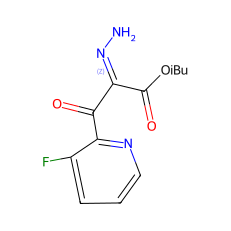 CC(C)COC(=O)/C(=N\N)C(=O)c1ncccc1F